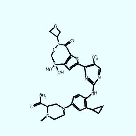 CN1CCN(c2ccc(Nc3ncc(C(F)(F)F)c(-c4cc5c(s4)C(=O)N(C4COC4)CCS5(O)O)n3)c(C3CC3)c2)CC1C(N)=O